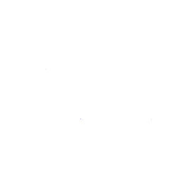 C#CCOc1ccc(S(C)(=O)=O)cc1N